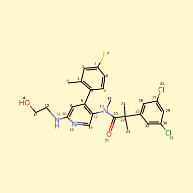 Cc1cc(F)ccc1-c1cc(NCCO)ncc1N(C)C(=O)C(C)(C)c1cc(Cl)cc(Cl)c1